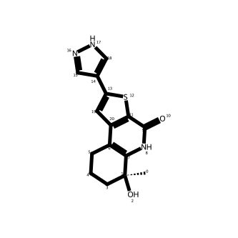 C[C@]1(O)CCCc2c1[nH]c(=O)c1sc(-c3cn[nH]c3)cc21